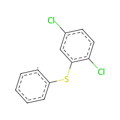 Clc1ccc(Cl)c(Sc2[c]cccc2)c1